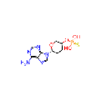 Nc1ncnc2c1ncn2[C@H]1CCC(OP(O)(O)=S)CO1